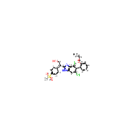 CCS(=O)(=O)c1ccc(C(CO)c2nc3c(Cl)c(-c4ccccc4OCC(F)(F)F)c(Cl)cc3[nH]2)cc1